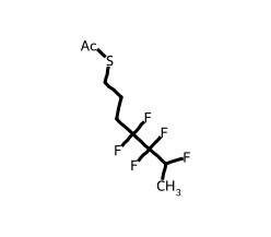 CC(=O)SCCCC(F)(F)C(F)(F)C(C)F